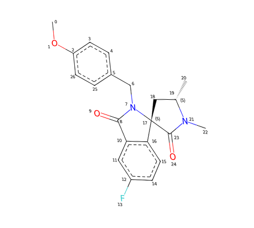 COc1ccc(CN2C(=O)c3cc(F)ccc3[C@]23C[C@H](C)N(C)C3=O)cc1